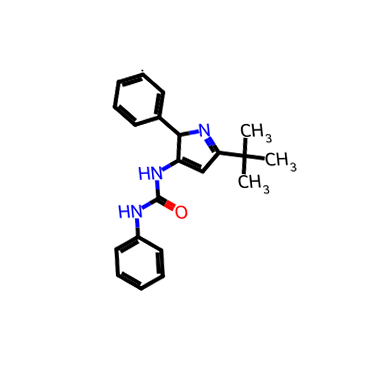 CC(C)(C)C1=NC(c2c[c]ccc2)C(NC(=O)Nc2ccccc2)=C1